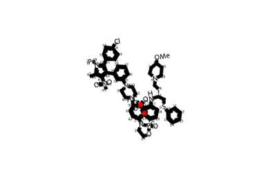 COC1CCN(CC[C@H](CSc2ccccc2)Nc2ccc([P@]3(=O)OCCN3c3ccc(N4CCN(c5cccc(-c6c(S(C)(=O)=O)c(C)n(C(C)C)c6-c6ccc(Cl)cc6)c5)CC4)cc3)cc2S(=O)(=O)C(F)(F)F)CC1